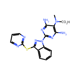 CN(C(=O)O)c1c(N)nc(-n2nc(Sc3ncccn3)c3ccccc32)nc1N